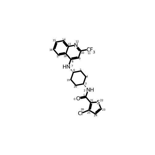 O=C(N[C@H]1CC[C@@H](Nc2cc(C(F)(F)F)nc3ccccc23)CC1)c1sccc1Cl